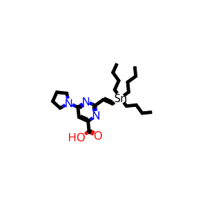 CCC[CH2][Sn]([CH]=Cc1nc(C(=O)O)cc(N2CCCC2)n1)([CH2]CCC)[CH2]CCC